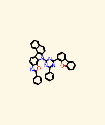 c1ccc(-c2nc(-c3cccc4c3oc3ccccc34)nc(-n3c4ccc5ccccc5c4c4ccc5nc(-c6ccccc6)oc5c43)n2)cc1